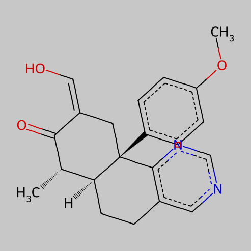 COc1ccc([C@]23C/C(=C/O)C(=O)[C@@H](C)[C@@H]2CCc2cncnc23)cc1